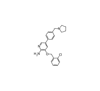 Nc1ncc(-c2ccc([CH]N3CCCC3)cc2)cc1OCc1ccccc1Cl